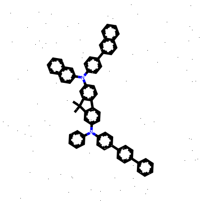 CC1(C)c2cc(N(c3ccccc3)c3ccc(-c4ccc(-c5ccccc5)cc4)cc3)ccc2-c2ccc(N(c3ccc(-c4ccc5ccccc5c4)cc3)c3ccc4ccccc4c3)cc21